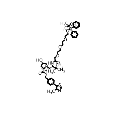 Cc1ncsc1-c1ccc(CNC(=O)[C@@H]2C[C@H](O)CN2C[C@@H](NC(=O)COCCOCCOCCO[Si](c2ccccc2)(c2ccccc2)C(C)(C)C)C(C)(C)C)cc1